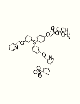 CC(C)(C)OC(=O)COc1ccc([S+](c2cccc(OCc3ccccn3)c2)c2cccc(OCc3ccccn3)c2)cc1.O=S(=O)([O-])c1ccccc1